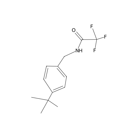 CC(C)(C)c1ccc(CNC(=O)C(F)(F)F)cc1